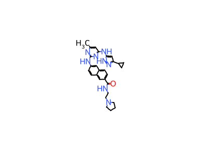 Cc1cc(Nc2cc(C3CC3)n[nH]2)nc(Nc2ccc3cc(C(=O)NCCN4CCCC4)ccc3c2)n1